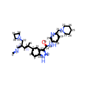 C=N/C=C(\C=C(/C)c1ccc2[nH]nc(C(=O)Nc3ccc(CN4CCCCC4)nc3)c2c1)CN1CCC1